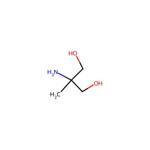 [CH2]C(N)(CO)CO